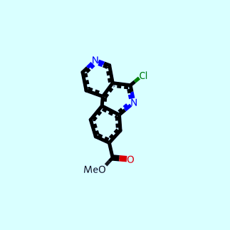 COC(=O)c1ccc2c(c1)nc(Cl)c1cnccc12